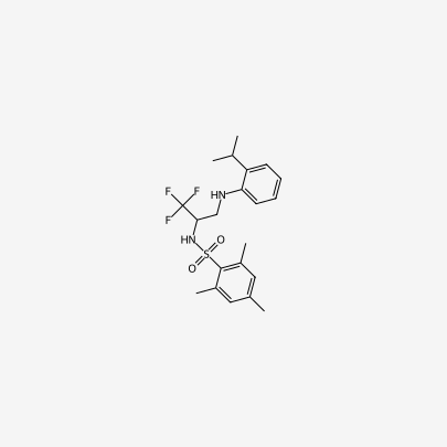 Cc1cc(C)c(S(=O)(=O)NC(CNc2ccccc2C(C)C)C(F)(F)F)c(C)c1